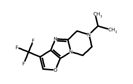 CC(C)N1CCn2c(nc3c(C(F)(F)F)coc32)C1